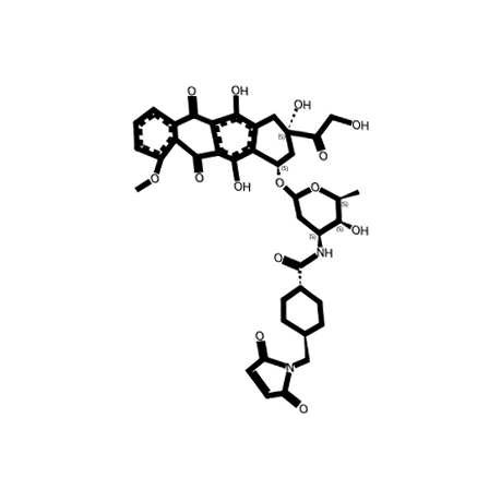 COc1cccc2c1C(=O)c1c(O)c3c(c(O)c1C2=O)C[C@@](O)(C(=O)CO)C[C@@H]3OC1C[C@H](NC(=O)[C@H]2CC[C@H](CN3C(=O)C=CC3=O)CC2)[C@H](O)[C@H](C)O1